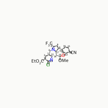 CCOC(=O)c1cc(Cn2c(C(F)(F)F)cc(-c3ccc(C#N)cc3)c2CC(=O)OC)cnc1Cl